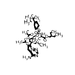 C=NC[C@@]1(c2ccc3c(N)ncnn23)O[C@H](COP(=O)(N[C@@H](C)C(=O)OCC(CC)CC)Oc2ccc(C(C)(C)C)cc2)[C@@H](OC(=O)CC)[C@H]1OC(=O)CC